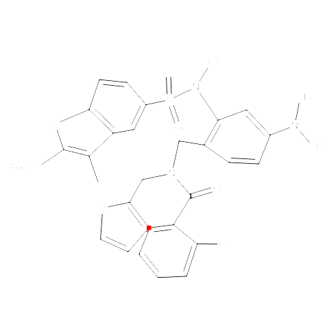 CCCN(CCC)c1ccc(CN(Cc2ccco2)C(=O)c2ccccc2Cl)c(N(CC)S(=O)(=O)c2ccc3oc(C(=O)OCC)c(C)c3c2)c1